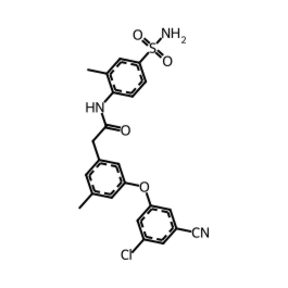 Cc1cc(CC(=O)Nc2ccc(S(N)(=O)=O)cc2C)cc(Oc2cc(Cl)cc(C#N)c2)c1